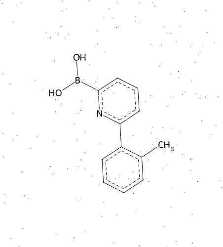 Cc1ccccc1-c1cccc(B(O)O)n1